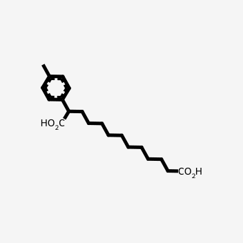 Cc1ccc(C(CCCCCCCCCCC(=O)O)C(=O)O)cc1